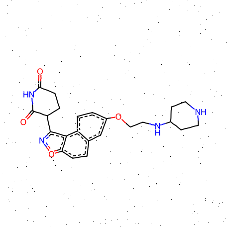 O=C1CCC(c2noc3ccc4cc(OCCNC5CCNCC5)ccc4c23)C(=O)N1